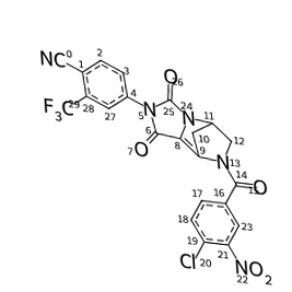 N#Cc1ccc(N2C(=O)C3=C4CC(CN4C(=O)c4ccc(Cl)c([N+](=O)[O-])c4)N3C2=O)cc1C(F)(F)F